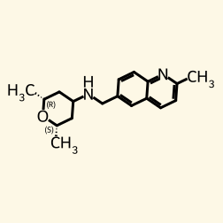 Cc1ccc2cc(CNC3C[C@@H](C)O[C@@H](C)C3)ccc2n1